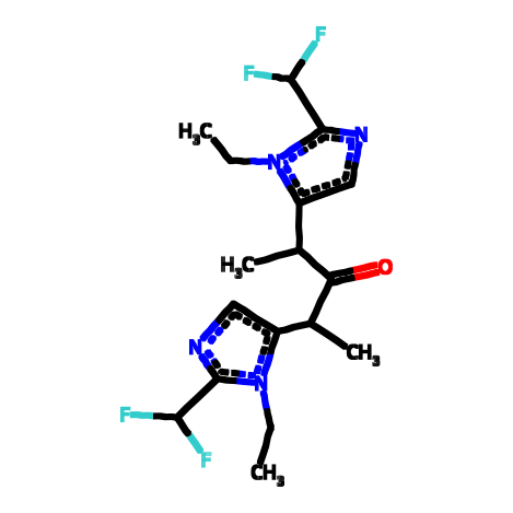 CCn1c(C(C)C(=O)C(C)c2cnc(C(F)F)n2CC)cnc1C(F)F